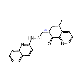 CC1=C/C(=C/NNc2ccc3ccccc3n2)C(=O)c2ncccc21